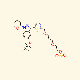 CC(C)(C)[Si](C)(C)Oc1ccc2c(c1)c(-c1cnc(COCCCOCCOS(C)(=O)=O)s1)nn2C1CCCCO1